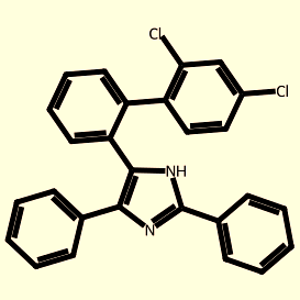 Clc1ccc(-c2ccccc2-c2[nH]c(-c3ccccc3)nc2-c2ccccc2)c(Cl)c1